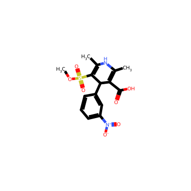 COS(=O)(=O)C1=C(C)NC(C)=C(C(=O)O)C1c1cccc([N+](=O)[O-])c1